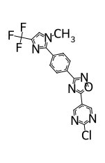 Cn1cc(C(F)(F)F)nc1-c1ccc(-c2noc(-c3cnc(Cl)nc3)n2)cc1